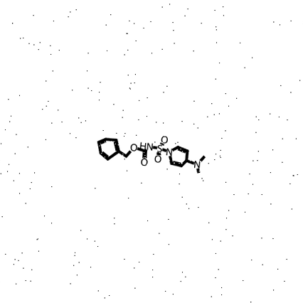 CN(C)C1C=CN(S(=O)(=O)NC(=O)OCc2ccccc2)C=C1